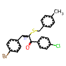 Cc1ccc(CS/C(=C/c2ccc(Br)cc2)C(=O)c2ccc(Cl)cc2)cc1